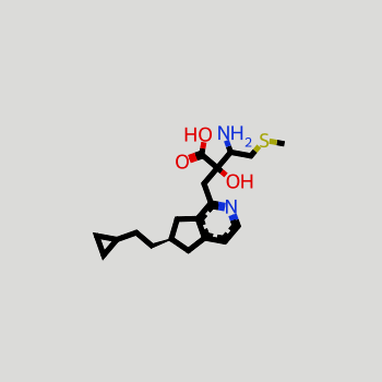 CSCC(N)C(O)(Cc1nccc2c1C[C@H](CCC1CC1)C2)C(=O)O